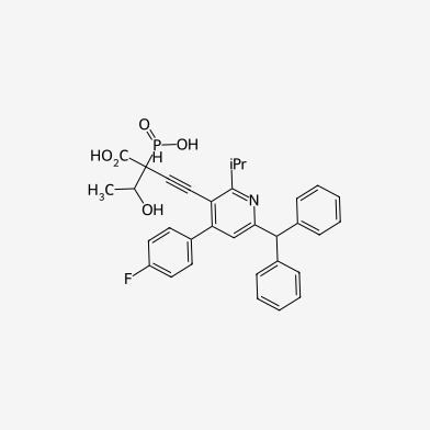 CC(C)c1nc(C(c2ccccc2)c2ccccc2)cc(-c2ccc(F)cc2)c1C#CC(C(=O)O)(C(C)O)[PH](=O)O